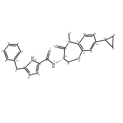 CN1C(=O)[C@@H](NC(=O)c2nnc(Cc3ccccc3)[nH]2)COc2cc(C3CC3)ccc21